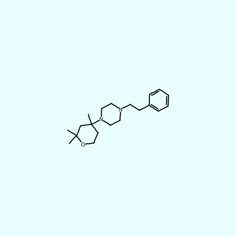 CC1(C)CC(C)(N2CCN(CCc3ccccc3)CC2)CCO1